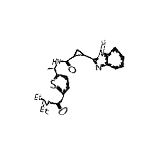 CCN(CC)C(=O)c1ccc([C@@H](C)NC(=O)C2CC2c2nc3ccccc3[nH]2)s1